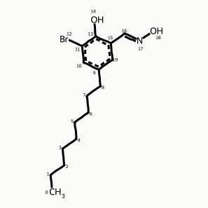 CCCCCCCCCc1cc(Br)c(O)c(C=NO)c1